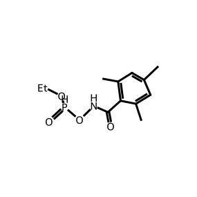 CCO[PH](=O)ONC(=O)c1c(C)cc(C)cc1C